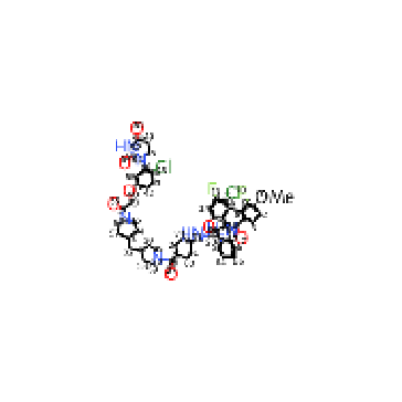 COc1ccc(C(N)=O)c(-c2c(Cl)c(F)cc3c2[C@H](C)[C@@](CNC2CCC(C(=O)N4CCC(CC5CCN(C(=O)COc6ccc(Cl)c(N7CCC(=O)NC7=O)c6)CC5)CC4)CC2)(c2ccccc2)O3)c1F